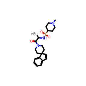 CCCCC(NS(=O)(=O)C1CCN(C)CC1)C(=O)N1CCC2(C=Cc3ccccc32)CC1